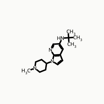 CN1CCC(n2ccc3cc(NC(C)(C)C)cnc32)CC1